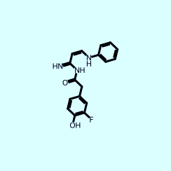 N=C(/C=C\Nc1ccccc1)NC(=O)Cc1ccc(O)c(F)c1